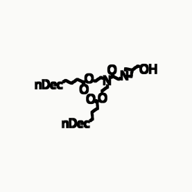 CCCCCCCCCCCCCC(=O)OCCN(CCOC(=O)CCCCCCCCCCCCC)C(=O)CN1CC(CO)C1